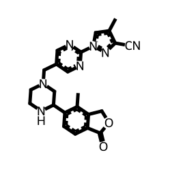 Cc1cn(-c2ncc(CN3CCNC(c4ccc5c(c4C)COC5=O)C3)cn2)nc1C#N